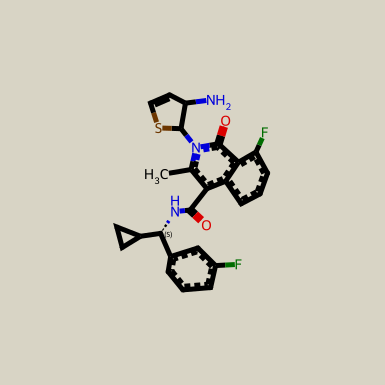 Cc1c(C(=O)N[C@H](c2cccc(F)c2)C2CC2)c2cccc(F)c2c(=O)n1C1SC=CC1N